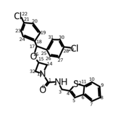 O=C(NCc1cc2ccccc2s1)N1CC(OC(c2ccc(Cl)cc2)c2ccc(Cl)cc2)C1